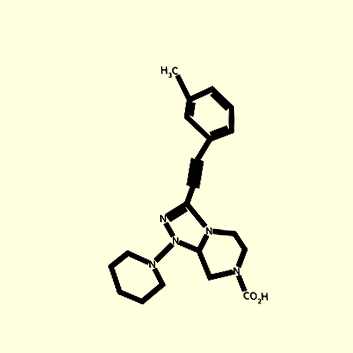 Cc1cccc(C#CC2=NN(N3CCCCC3)C3CN(C(=O)O)CCN23)c1